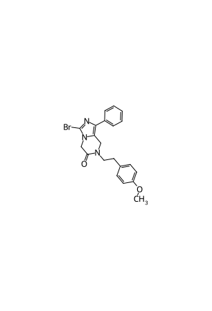 COc1ccc(CCN2Cc3c(-c4ccccc4)nc(Br)n3CC2=O)cc1